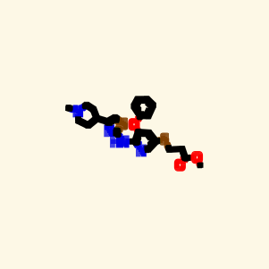 COC(=O)CCSc1cnc(Nc2nc(C3CCN(C)CC3)cs2)c(Oc2ccccc2)c1